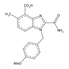 COc1ccc(Cn2c(C(N)=O)nc3c(C(=O)O)c(C)ccc32)cc1